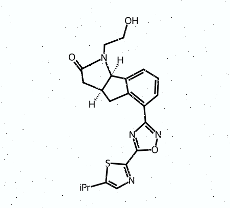 CC(C)c1cnc(-c2nc(-c3cccc4c3C[C@H]3CC(=O)N(CCO)[C@@H]43)no2)s1